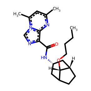 CCCCO[C@H]1C2CC[C@H]1C[C@@H](NC(=O)c1ncn3c(C)cc(C)nc13)C2